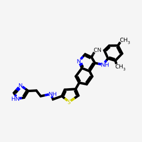 Cc1ccc(Nc2c(C#N)cnc3cc(-c4csc(CNCCc5c[nH]cn5)c4)ccc23)c(C)c1